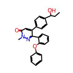 CCC(O)c1ccc(-c2cc(=O)n(C)nc2-c2ccccc2Oc2ccccc2)cc1